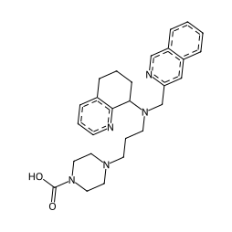 O=C(O)N1CCN(CCCN(Cc2cc3ccccc3cn2)C2CCCc3cccnc32)CC1